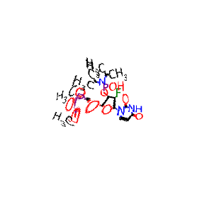 COP(=O)(CO[C@H]1O[C@@H](n2ccc(=O)[nH]c2=O)[C@H](F)[C@@H]1OP(O)N(C(C)C)C(C)C)OC